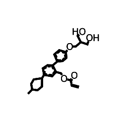 C=CC(=O)OCc1cc(C2CCC(C)CC2)ccc1-c1ccc(OCC(CO)CO)cc1